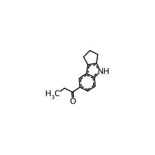 CCC(=O)c1ccc2[nH]c3c(c2c1)CCC3